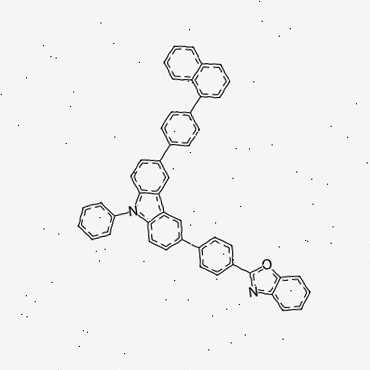 c1ccc(-n2c3ccc(-c4ccc(-c5nc6ccccc6o5)cc4)cc3c3cc(-c4ccc(-c5cccc6ccccc56)cc4)ccc32)cc1